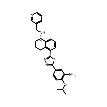 CC(C)Oc1ccc(-c2nnc(-c3cccc4c3CCC[C@@H]4NCc3cccnc3)s2)cc1N